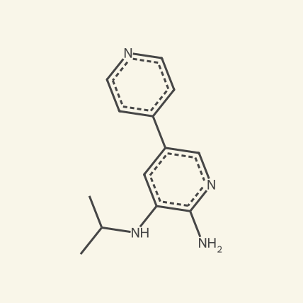 CC(C)Nc1cc(-c2ccncc2)cnc1N